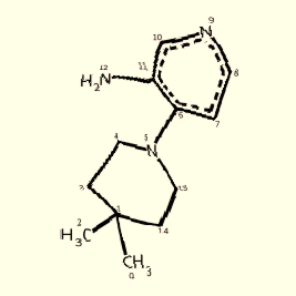 CC1(C)CCN(c2ccncc2N)CC1